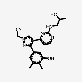 Cc1cc(-c2nn(CC#N)cc2-c2ccnc(NCC(C)O)n2)cc(O)c1C